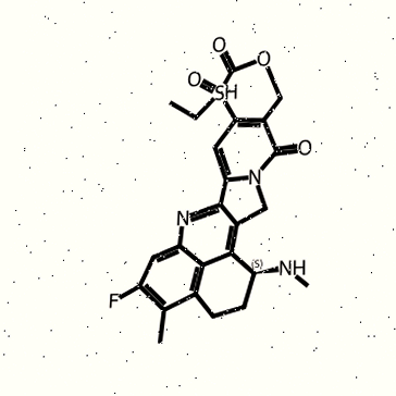 CC[SH]1(=O)C(=O)OCc2c1cc1n(c2=O)Cc2c-1nc1cc(F)c(C)c3c1c2[C@@H](NC)CC3